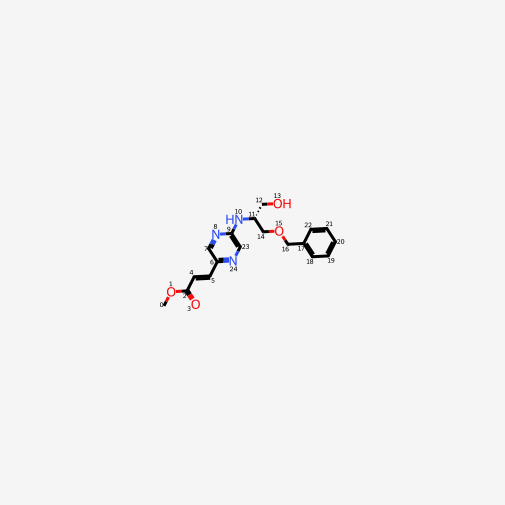 COC(=O)/C=C/c1cnc(N[C@H](CO)COCc2ccccc2)cn1